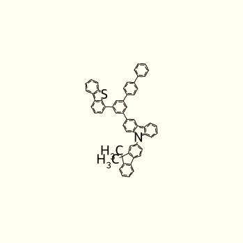 CC1(C)c2ccccc2-c2ccc(-n3c4ccccc4c4cc(-c5cc(-c6ccc(-c7ccccc7)cc6)cc(-c6cccc7c6sc6ccccc67)c5)ccc43)cc21